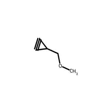 COCC1C#C1